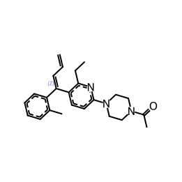 C=C/C=C(/c1ccccc1C)c1ccc(N2CCN(C(C)=O)CC2)nc1CC